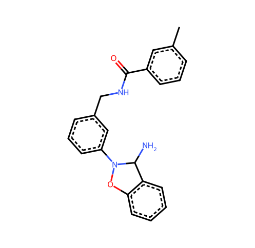 Cc1cccc(C(=O)NCc2cccc(N3Oc4ccccc4C3N)c2)c1